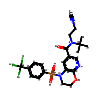 [C-]#[N+]CCN(C(=O)c1cnc2c(c1)N(S(=O)(=O)c1ccc(C(F)(F)F)cc1)CCO2)C(C)(C)C